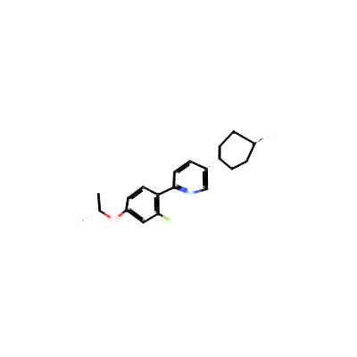 CCCCCCCC[C@H]1CC[C@H](c2ccc(-c3ccc(O[C@@H](C)CCCC)cc3F)nc2)CC1